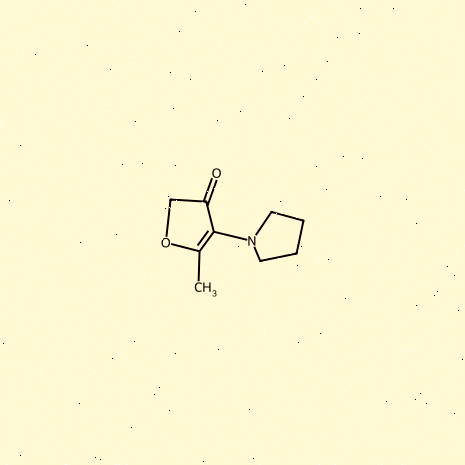 CC1=C(N2CCCC2)C(=O)CO1